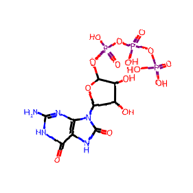 Nc1nc2c([nH]c(=O)n2C2OC(OP(=O)(O)OP(=O)(O)OP(=O)(O)O)C(O)C2O)c(=O)[nH]1